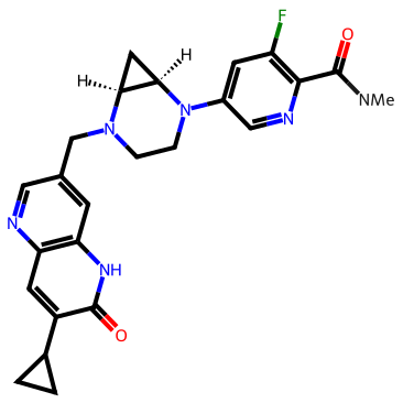 CNC(=O)c1ncc(N2CCN(Cc3cnc4cc(C5CC5)c(=O)[nH]c4c3)[C@H]3C[C@H]32)cc1F